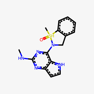 CNc1nc(N2Cc3ccccc3[SH]2(C)=O)c2[nH]ccc2n1